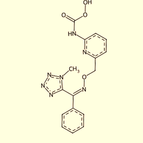 Cn1nnnc1/C(=N\OCc1cccc(NC(=O)OO)n1)c1ccccc1